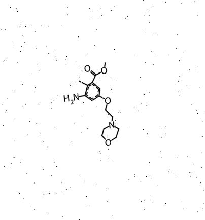 COC(=O)c1cc(OCCN2CCOCC2)cc(N)c1C